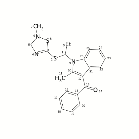 CCC(SC1=NCN(C)S1)n1c(C)c(C(=O)c2ccccc2)c2ccccc21